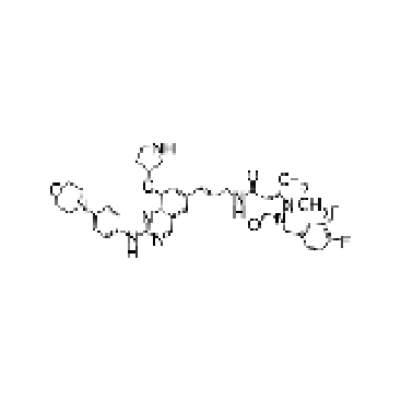 Cc1c(C(=O)NCC=Cc2cc(OC3CCNC3)c3nc(Nc4ccc(N5CCOCC5)cc4)ncc3c2)c(=O)n(Cc2ccc(F)c(F)c2)n1C